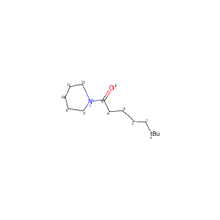 CC(C)(C)CCCCC(=O)N1CCCCC1